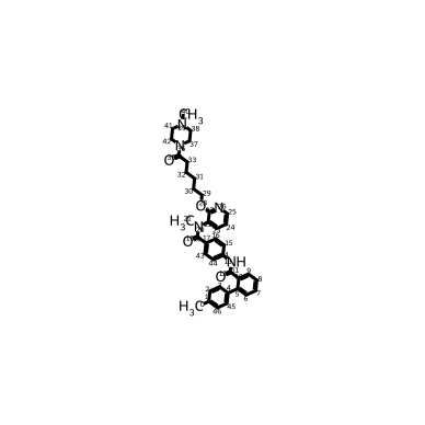 Cc1ccc(-c2ccccc2C(=O)Nc2ccc(C(=O)N(C)c3cccnc3OCCCCCC(=O)N3CCN(C)CC3)cc2)cc1